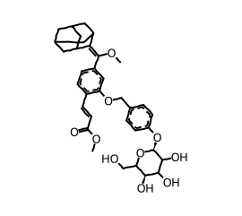 COC(=O)/C=C/c1ccc(C(OC)=C2C3CC4CC(C3)CC2C4)cc1OCc1ccc(O[C@@H]2OC(CO)[C@H](O)C(O)C2O)cc1